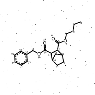 CCCCOC(=O)C1C2CCC(C2)C1C(=O)OCc1ccccc1